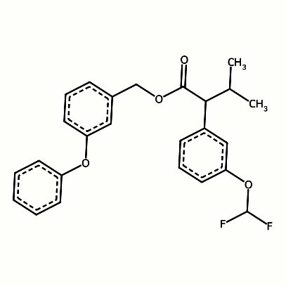 CC(C)C(C(=O)OCc1cccc(Oc2ccccc2)c1)c1cccc(OC(F)F)c1